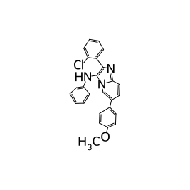 COc1ccc(-c2ccc3nc(-c4ccccc4Cl)c(Nc4ccccc4)n3c2)cc1